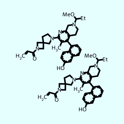 C=CC(=O)N1CC2(CCN(c3nc4c(c(-c5cccc6cc(O)ccc56)c3C)CCN(C(CC)OC)C4)C2)C1.C=CC(=O)N1CC2(CCN(c3nc4c(c(-c5cccc6cc(O)ccc56)c3C)CCN(C(CC)OC)C4)C2)C1